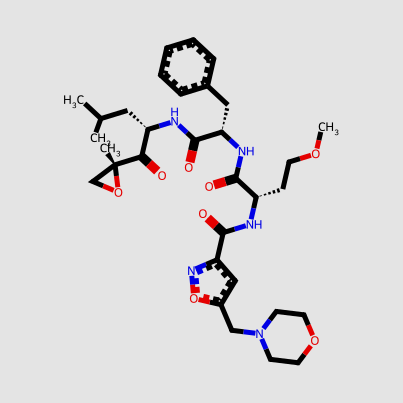 COCC[C@H](NC(=O)c1cc(CN2CCOCC2)on1)C(=O)N[C@@H](Cc1ccccc1)C(=O)N[C@@H](CC(C)C)C(=O)[C@@]1(C)CO1